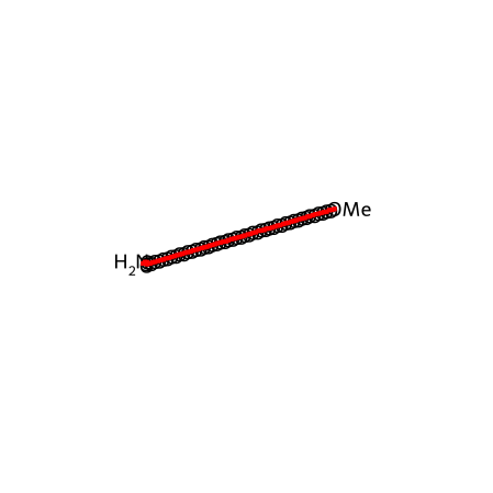 COCCOCCOCCOCCOCCOCCOCCOCCOCCOCCOCCOCCOCCOCCOCCOCCOCCOCCOCCOCCOCCOCCOCCOCCOCCOCCOCCOCCOCCOCCOCCOCCOCCOCCOCCOCCOCCOCCOCCOCCOCCOCCOCCOCCOCCOCCS(=O)(=O)CCC(C)(C)N